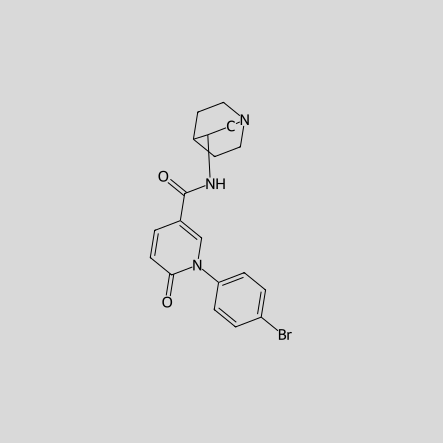 O=C(NC1CN2CCC1CC2)c1ccc(=O)n(-c2ccc(Br)cc2)c1